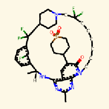 Cc1nc2c3cc(C4CCS(=O)(=O)CC4)c(=O)n(c3n1)CCCCCCC(F)(F)CN1CCC(CC1)C(F)(F)c1cccc(c1F)[C@@H](C)N2